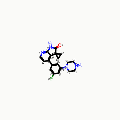 O=C1Nc2nccc(-c3cc(F)cc(N4CCNCC4)c3)c2C12CC2